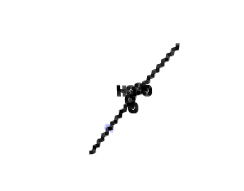 CCCCCCCC/C=C/CCCCCCCC(=O)OCC(O)COC(=O)CCCCCCCCCCCCCCC